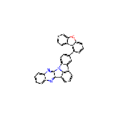 c1ccc2nc3c(nc2c1)c1cccc2c4cc(-c5cccc6oc7ccccc7c56)ccc4n3c21